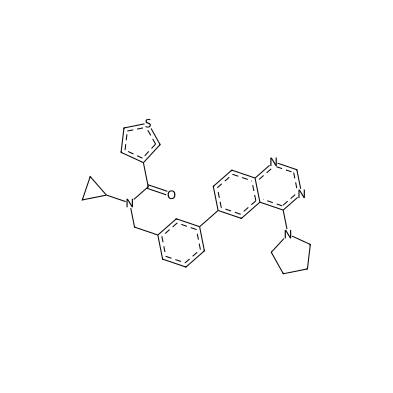 O=C(c1ccsc1)N(Cc1cccc(-c2ccc3ncnc(N4CCCC4)c3c2)c1)C1CC1